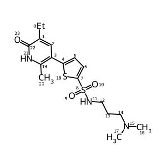 CCc1cc(-c2ccc(S(=O)(=O)NCCCN(C)C)s2)c(C)[nH]c1=O